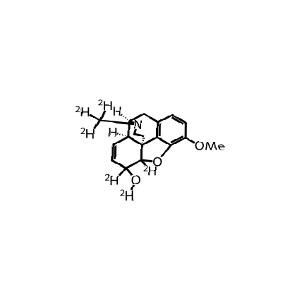 [2H]OC1([2H])C=C[C@H]2[C@H]3Cc4ccc(OC)c5c4[C@@]2(CCN3C([2H])([2H])[2H])C1([2H])O5